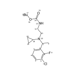 CC(c1cccc(Cl)c1F)N(CCNC(=O)OC(C)(C)C)C1CC1